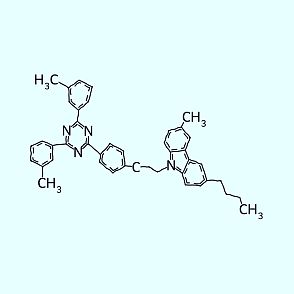 CCCCc1ccc2c(c1)c1cc(C)ccc1n2CCCc1ccc(-c2nc(-c3cccc(C)c3)nc(-c3cccc(C)c3)n2)cc1